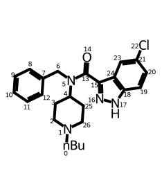 CCCCN1CCC(N(Cc2ccccc2)C(=O)c2n[nH]c3ccc(Cl)cc23)CC1